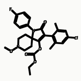 CCOC(=O)OC1=C(c2c(C)cc(Cl)cc2C)C(=O)N(c2ccc(F)cc2)C12CCN(OC)CC2